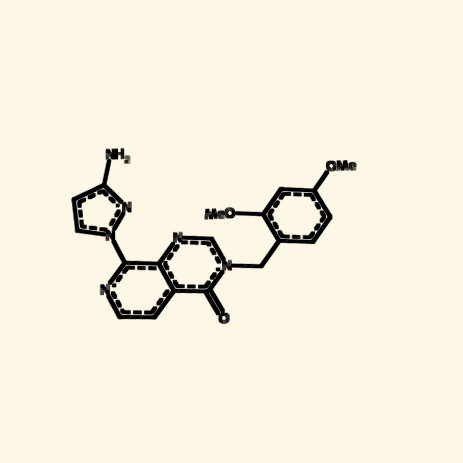 COc1ccc(Cn2cnc3c(-n4ccc(N)n4)nccc3c2=O)c(OC)c1